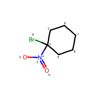 O=[N+]([O-])C1(Br)CCCCC1